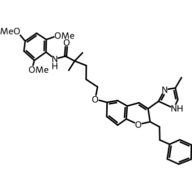 COc1cc(OC)c(NC(=O)C(C)(C)CCCOc2ccc3c(c2)C=C(c2nc(C)c[nH]2)C(CCc2ccccc2)O3)c(OC)c1